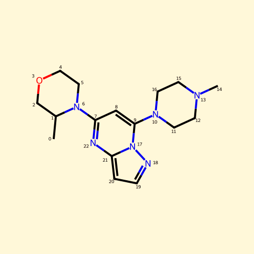 CC1COCCN1c1cc(N2CCN(C)CC2)n2nccc2n1